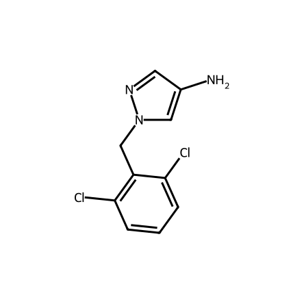 Nc1cnn(Cc2c(Cl)cccc2Cl)c1